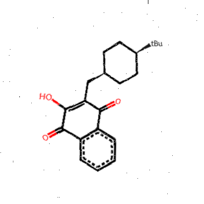 CC(C)(C)[C@H]1CC[C@@H](CC2=C(O)C(=O)c3ccccc3C2=O)CC1